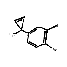 CC(=O)c1ccc(C2(C(F)(F)F)C=C2)cc1I